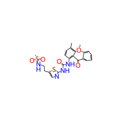 COc1ccccc1C(=O)c1cc(C)ccc1NC(=O)Nc1ncc(CCNS(C)(=O)=O)s1